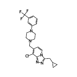 FC(F)(F)c1cccc(N2CCN(Cc3ccn4c(CC5CC5)nnc4c3Cl)CC2)c1